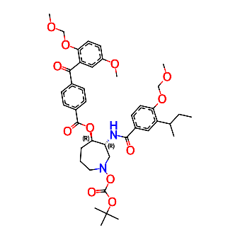 CCC(C)c1cc(C(=O)N[C@@H]2CN(OC(=O)OC(C)(C)C)CCC[C@H]2OC(=O)c2ccc(C(=O)c3cc(OC)ccc3OCOC)cc2)ccc1OCOC